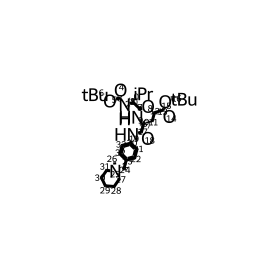 CC(C)[C@H](NC(=O)OC(C)(C)C)C(=O)N[C@@H](CCC(=O)OC(C)(C)C)C(=O)Nc1ccc(C[N+]2(C)CCCCC2)cc1